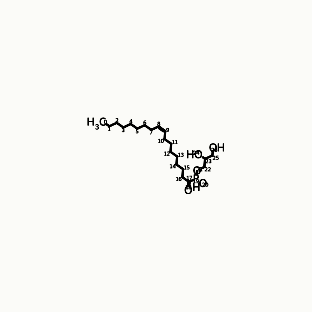 CCCCCCCC/C=C\CCCCCCCC(=O)[PH](=O)OCC(O)CO